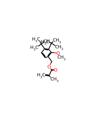 C=C(C)C(=O)OCc1ccc(C(C)(C)C)c(C(C)(C)C)c1OC